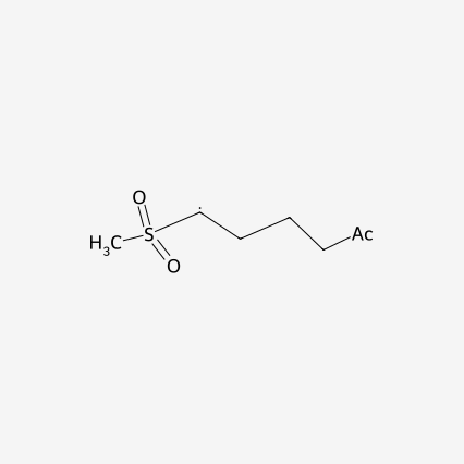 CC(=O)CCC[CH]S(C)(=O)=O